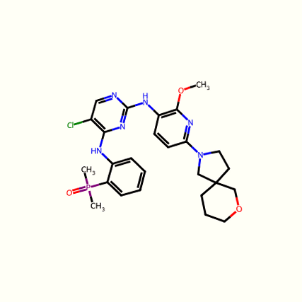 COc1nc(N2CCC3(CCCOC3)C2)ccc1Nc1ncc(Cl)c(Nc2ccccc2P(C)(C)=O)n1